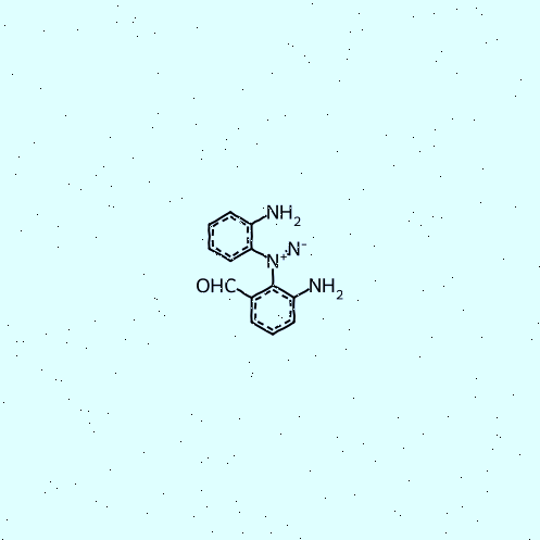 [N-]=[N+](c1ccccc1N)c1c(N)cccc1C=O